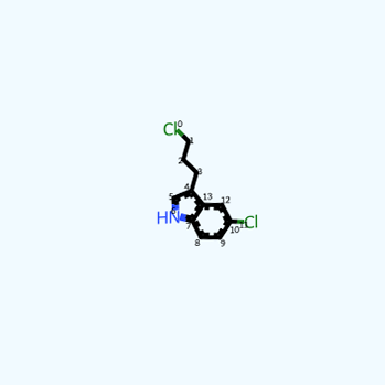 ClCCCc1c[nH]c2ccc(Cl)cc12